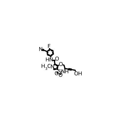 Cn1cc2c(c1C(=O)Nc1ccc(F)c(C#N)c1)OCC(C#CCO)NS2(=O)=O